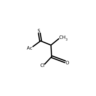 CC(=O)C(=S)C(C)C(=O)Cl